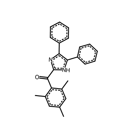 Cc1cc(C)c(C(=O)c2nc(-c3ccccc3)c(-c3ccccc3)[nH]2)c(C)c1